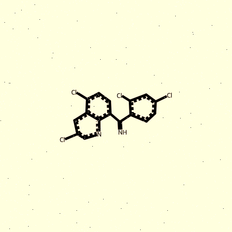 N=C(c1ccc(Cl)cc1Cl)c1ccc(Cl)c2cc(Cl)cnc12